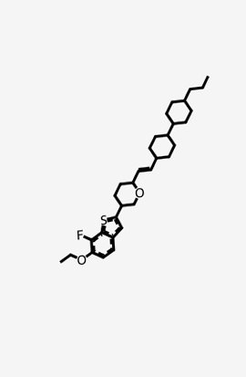 CCCC1CCC(C2CCC(/C=C/C3CCC(c4cc5ccc(OCC)c(F)c5s4)CO3)CC2)CC1